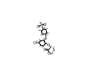 CC[C@@H](Oc1ccc(Cl)cc1Sc1ccc(S(C)(=O)=O)cc1)C(=O)O